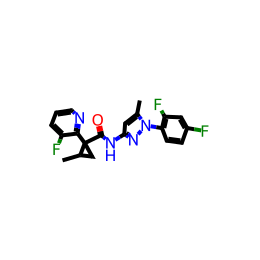 Cc1cc(NC(=O)C2(c3ncccc3F)CC2C)nn1-c1ccc(F)cc1F